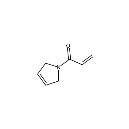 C=CC(=O)N1C[C]=CC1